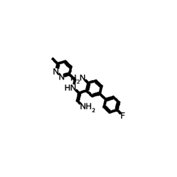 Cc1ccc(CN/C(=C/N)c2cc(-c3ccc(F)cc3)ccc2N)nn1